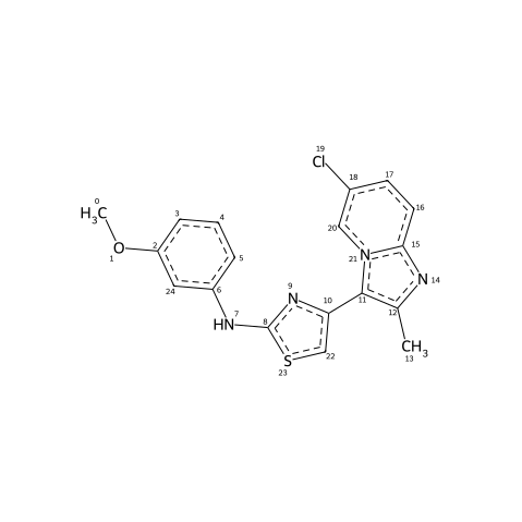 COc1cccc(Nc2nc(-c3c(C)nc4ccc(Cl)cn34)cs2)c1